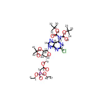 CCOP(=O)(CC(=O)OC[C@H]1O[C@@H](n2cnc3c(N(C(=O)OC(C)(C)C)C(=O)OC(C)(C)C)nc(Cl)nc32)C2OC(C)(C)OC21)OCC